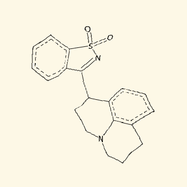 O=S1(=O)N=C(C2CCN3CCCc4cccc2c43)c2ccccc21